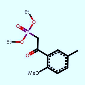 CCOP(=O)(CC(=O)c1cc(C)ccc1OC)OCC